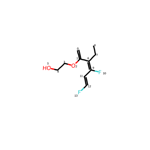 C=C(OCCO)/C(CC)=C(F)\C=C\F